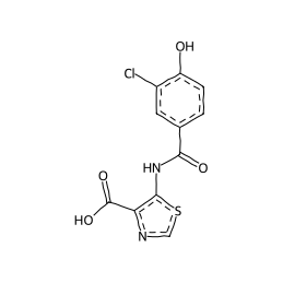 O=C(Nc1scnc1C(=O)O)c1ccc(O)c(Cl)c1